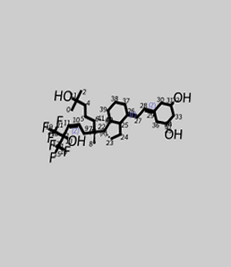 CC(C)(O)CCC[C@@](C)(C/C=C\C(O)(C(F)(F)F)C(F)(F)F)[C@H]1CCC2/C(=C/C=C3/CC(O)C[C@H](O)C3)CCC[C@@]21C